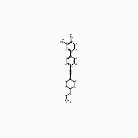 CCCC1CCC(C#Cc2ccc(-c3ccc(Br)c(Br)c3)cc2)CC1